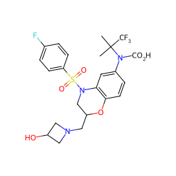 CC(C)(N(C(=O)O)c1ccc2c(c1)N(S(=O)(=O)c1ccc(F)cc1)CC(CN1CC(O)C1)O2)C(F)(F)F